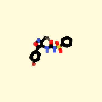 Cc1noc(-c2ccc(Br)cc2)c1NC(=O)NS(=O)(=O)c1ccccc1